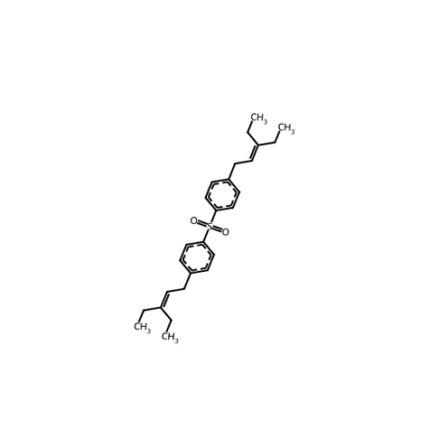 CCC(=CCc1ccc(S(=O)(=O)c2ccc(CC=C(CC)CC)cc2)cc1)CC